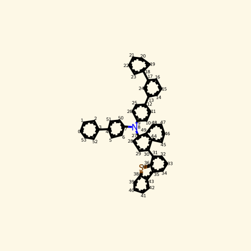 c1ccc(-c2ccc(N(c3ccc(-c4cccc(-c5ccccc5)c4)cc3)c3ccc(-c4cccc5c4sc4ccccc45)c4ccccc34)cc2)cc1